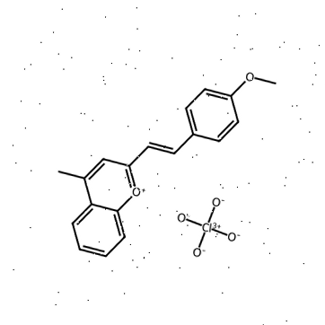 COc1ccc(C=Cc2cc(C)c3ccccc3[o+]2)cc1.[O-][Cl+3]([O-])([O-])[O-]